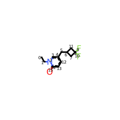 CCn1cc(CC2CC(F)(F)C2)ccc1=O